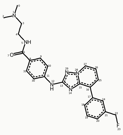 CN(C)CCNC(=O)c1ccc(Nc2nc3c(-c4cccc(CF)c4)cccn3n2)cc1